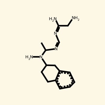 CC(/N=C\N=C(\N)CN)N(N)C1CCc2ccccc2C1